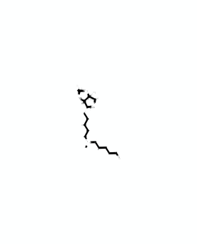 CC(=O)CCCCCN(C)CCCCC[C@@H]1SC[C@@H]2NC(=O)N[C@@H]21